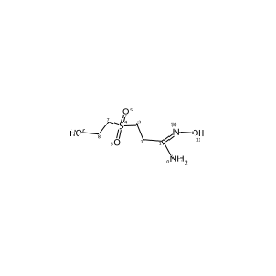 NC(CCS(=O)(=O)CCO)=NO